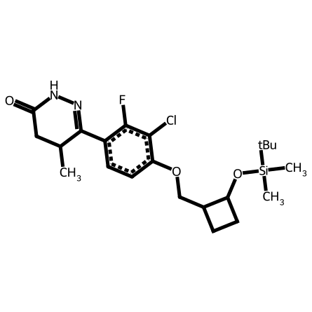 CC1CC(=O)NN=C1c1ccc(OCC2CCC2O[Si](C)(C)C(C)(C)C)c(Cl)c1F